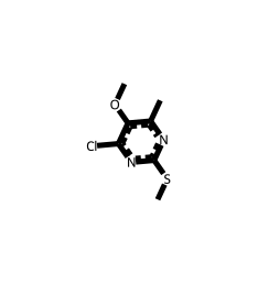 COc1c(C)nc(SC)nc1Cl